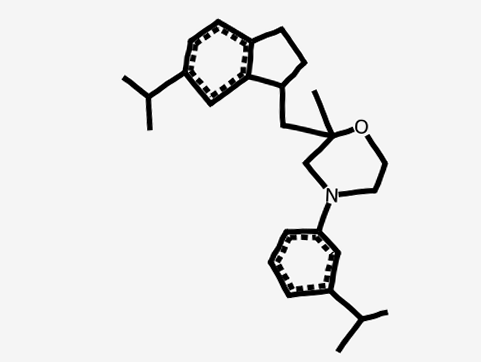 CC(C)c1cccc(N2CCOC(C)(CC3CCc4ccc(C(C)C)cc43)C2)c1